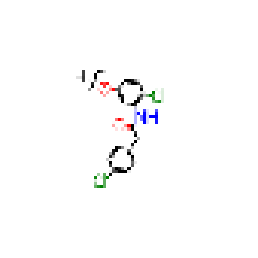 COc1ccc(Cl)c(NC(=O)Cc2ccc(Cl)cc2)c1